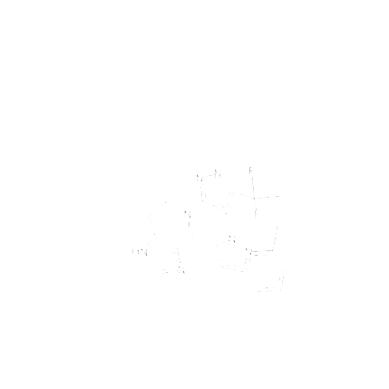 Cc1cccc2cc(C3c4nc[nH]c4CCN3c3nnc(C(C)(F)F)o3)nn12